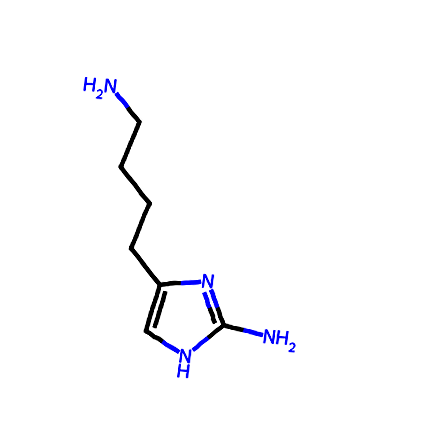 NCCCCc1c[nH]c(N)n1